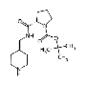 CC(C)(C)OC(=O)N1CCC[C@H]1C(=O)NCC1CCNCC1